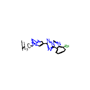 CCn1cc(-c2nc3c4cccc(Br)c4ncn3n2)cn1